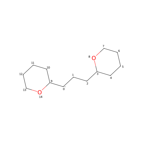 [CH](CCC1CCCCO1)C1CCCCO1